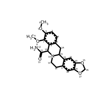 COc1ccc2c(c1OC)C(C(N)=O)N1CCc3cc4c(cc3C1C2)OCO4